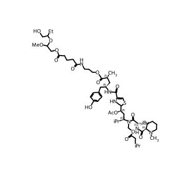 CCC(CO)OC(COC(=O)CCCC(=O)NCCCOC(=O)[C@@H](C)C[C@H](Cc1ccc(O)cc1)NC(=O)C1=CSC([C@@H](C[C@H](C(C)C)N(COC(=O)CC(C)C)C(=O)[C@@H](NC(=O)[C@H]2CCCCN2C)[C@@H](C)CC)OC(C)=O)N1)OC